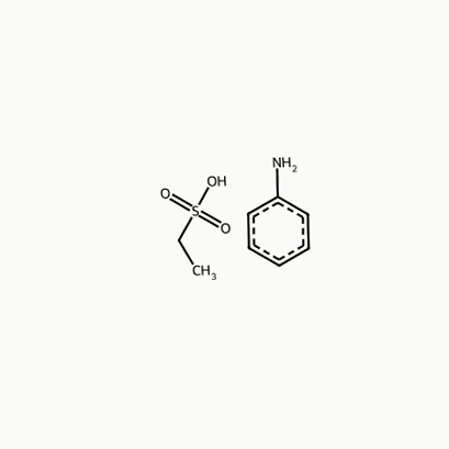 CCS(=O)(=O)O.Nc1ccccc1